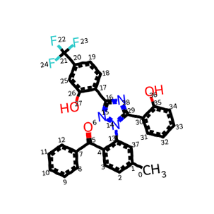 Cc1ccc(C(=O)c2ccccc2)c(-n2nc(-c3ccc(C(F)(F)F)cc3O)nc2-c2ccccc2O)c1